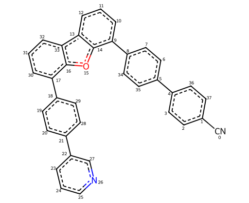 N#Cc1ccc(-c2ccc(-c3cccc4c3oc3c(-c5ccc(-c6cccnc6)cc5)cccc34)cc2)cc1